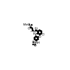 CC[C@@H](N[C@H](C)CC(=O)N(C)OC)c1ccc(Cl)c(Oc2cccc(NS(C)(=O)=O)c2)c1F